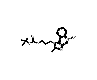 Cc1nc2c[n+]([O-])c3ccccc3c2n1CCCNC(=O)OC(C)(C)C